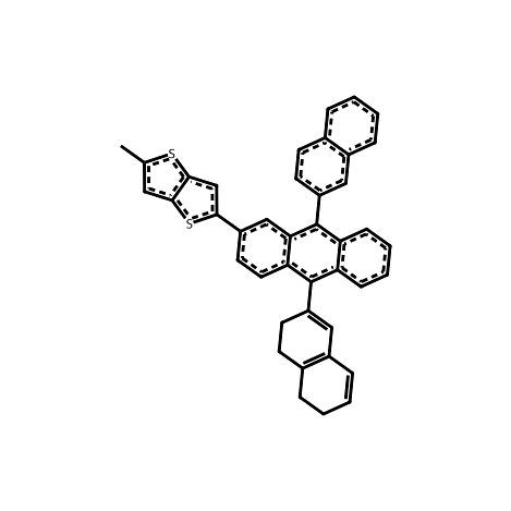 Cc1cc2sc(-c3ccc4c(C5=CC6=C(CCC=C6)CC5)c5ccccc5c(-c5ccc6ccccc6c5)c4c3)cc2s1